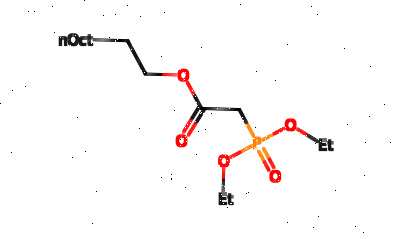 CCCCCCCCCCOC(=O)CP(=O)(OCC)OCC